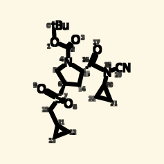 CC(C)(C)OC(=O)N1C[C@H](S(=O)(=O)CC2CC2)C[C@H]1C(=O)N(C#N)C1CC1